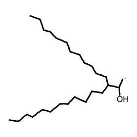 [CH2]C(O)C(CCCCCCCCCCCC)CCCCCCCCCCCC